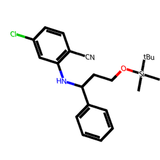 CC(C)(C)[Si](C)(C)OCCC(Nc1cc(Cl)ccc1C#N)c1ccccc1